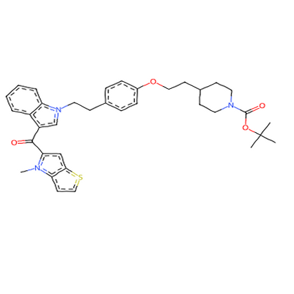 Cn1c(C(=O)c2cn(CCc3ccc(OCCC4CCN(C(=O)OC(C)(C)C)CC4)cc3)c3ccccc23)cc2sccc21